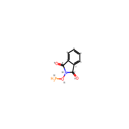 O=C1c2ccccc2C(=O)N1OP